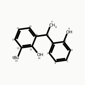 CC(c1ccccc1O)c1cccc(C(C)(C)C)c1O